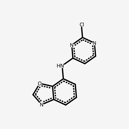 Clc1nccc(Nc2cccc3ncoc23)n1